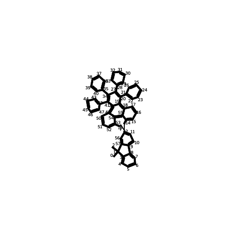 CC1(C)c2ccccc2-c2ccc(-n3c4cccc5c6c(-c7ccccc7)c(-c7ccccc7)c(-c7ccccc7)c(-c7ccccc7)c6c6cccc3c6c54)cc21